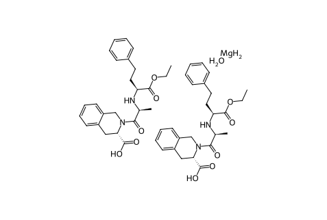 CCOC(=O)[C@H](CCc1ccccc1)N[C@@H](C)C(=O)N1Cc2ccccc2C[C@H]1C(=O)O.CCOC(=O)[C@H](CCc1ccccc1)N[C@@H](C)C(=O)N1Cc2ccccc2C[C@H]1C(=O)O.O.[MgH2]